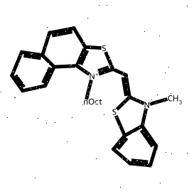 CCCCCCCC[n+]1c(C=C2Sc3ccccc3N2C)sc2ccc3ccccc3c21